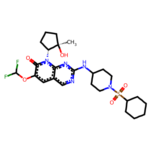 C[C@@]1(O)CCC[C@H]1n1c(=O)c(OC(F)F)cc2cnc(NC3CCN(S(=O)(=O)C4CCCCC4)CC3)nc21